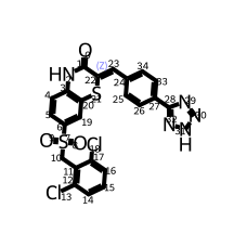 O=C1Nc2ccc(S(=O)(=O)Cc3c(Cl)cccc3Cl)cc2S/C1=C\c1ccc(-c2nn[nH]n2)cc1